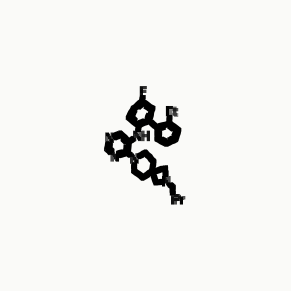 CCc1ccccc1-c1cc(F)ccc1Nc1cncnc1N1CCC2(CC1)CN(CC(C)C)C2